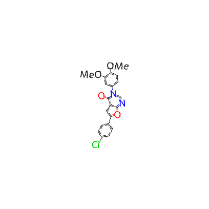 COc1ccc(-n2cnc3oc(-c4ccc(Cl)cc4)cc3c2=O)cc1OC